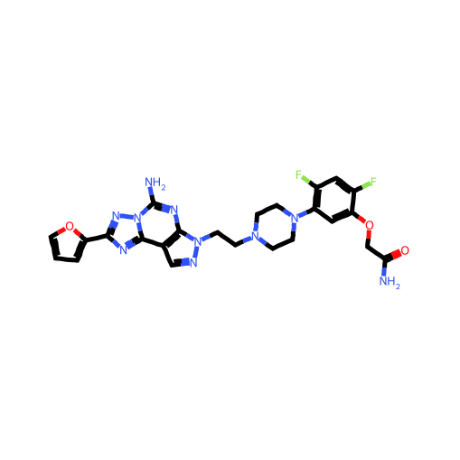 NC(=O)COc1cc(N2CCN(CCn3ncc4c3nc(N)n3nc(-c5ccco5)nc43)CC2)c(F)cc1F